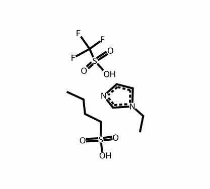 CCCCS(=O)(=O)O.CCn1ccnc1.O=S(=O)(O)C(F)(F)F